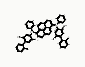 Cc1ccccc1-c1cc(F)c(N(c2ccccc2)c2ccc3ccc4c(N(c5ccccc5)c5cc(F)c(-c6ccccc6C)cc5F)ccc5ccc2c3c54)cc1F